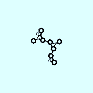 c1ccc(-n2c3ccc(-c4ccc5oc6ccccc6c5c4)cc3c3cc(-c4ccc5c(c4)c4c6ccccc6oc4n5-c4ccccc4)ccc32)cc1